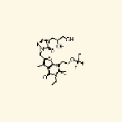 CCn1c(=O)c2c(C)c(Cn3ncn(CC(O)CO)c3=O)sc2n(CCOC(F)(F)F)c1=O